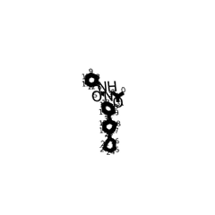 CC1CN(C(=O)Nc2ccccc2)c2ccc(-c3ccc(C4CCCCC4)cc3)cc2O1